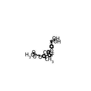 Cc1cc(OCCCS(C)(=O)=O)cc(C)c1-c1ccc(F)c2c1CC[C@H]2Oc1ccc([C@H]2C[C@@H]2C(O)O)cc1